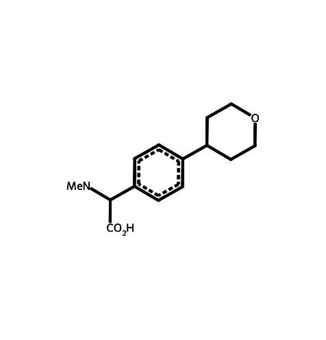 CNC(C(=O)O)c1ccc(C2CCOCC2)cc1